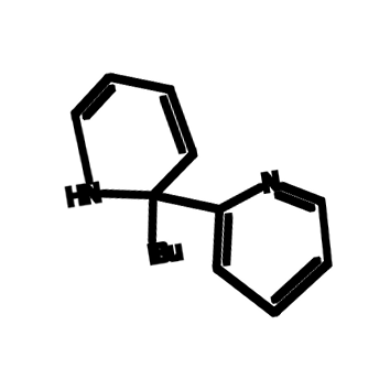 CCC(C)C1(c2ccccn2)C=CC=CN1